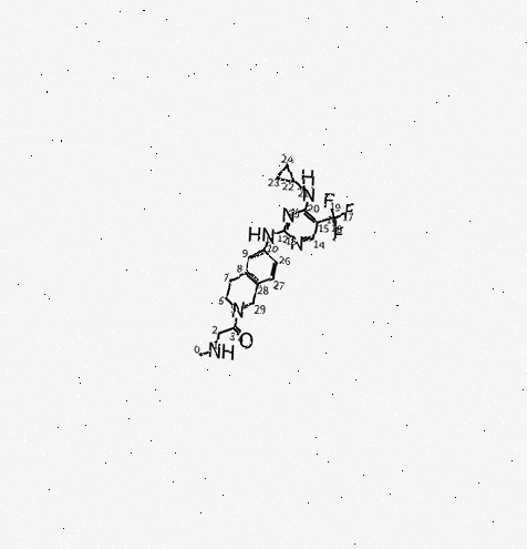 CNCC(=O)N1CCc2cc(Nc3ncc(C(F)(F)F)c(NC4CC4)n3)ccc2C1